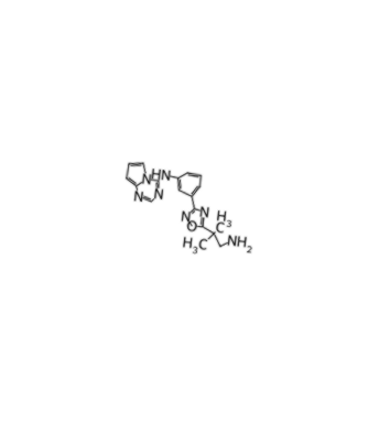 CC(C)(CN)c1nc(-c2cccc(Nc3ncnc4cccn34)c2)no1